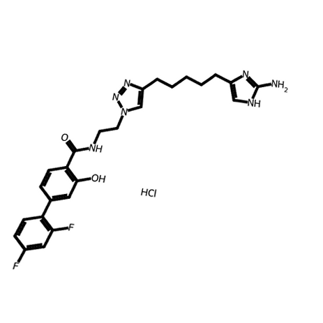 Cl.Nc1nc(CCCCCc2cn(CCNC(=O)c3ccc(-c4ccc(F)cc4F)cc3O)nn2)c[nH]1